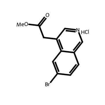 COC(=O)Cc1cncc2ccc(Br)cc12.Cl